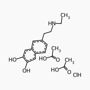 CC(=O)O.CC(=O)O.CCNCCc1ccc2cc(O)c(O)cc2c1.Cl